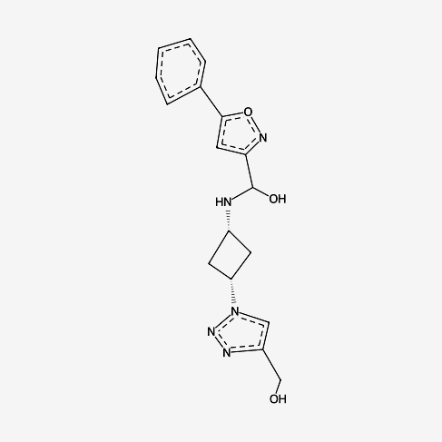 OCc1cn([C@H]2C[C@@H](NC(O)c3cc(-c4ccccc4)on3)C2)nn1